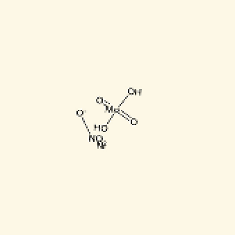 O=[N+]([O-])[O-].[Ni].[O]=[Mo](=[O])([OH])[OH]